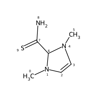 CN1C=CN(C)C1C(N)=S